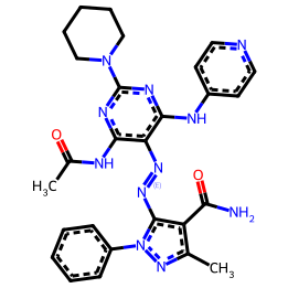 CC(=O)Nc1nc(N2CCCCC2)nc(Nc2ccncc2)c1/N=N/c1c(C(N)=O)c(C)nn1-c1ccccc1